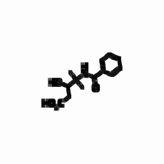 CC(C)(NC(=O)c1ccccc1)C(O)CC(=O)O